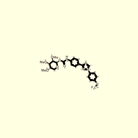 CO[C@H]1[C@@H](OC(=O)Nc2ccc(-c3ncn(-c4ccc(OC(F)(F)F)cc4)n3)cc2)OC[C@H](OC)[C@H]1OC